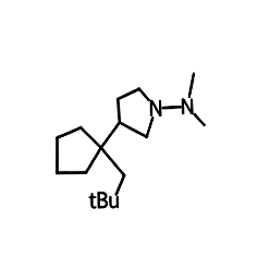 CN(C)N1CCC(C2(CC(C)(C)C)CCCC2)C1